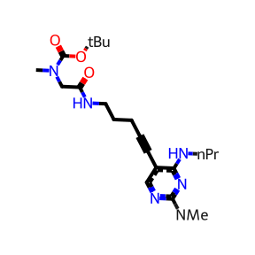 CCCNc1nc(NC)ncc1C#CCCCNC(=O)CN(C)C(=O)OC(C)(C)C